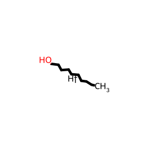 CCCCCCCCCCO.[Hf]